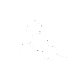 O=C(O)CC1=CC2C=CC(O)=CC2Cc2ccccc21